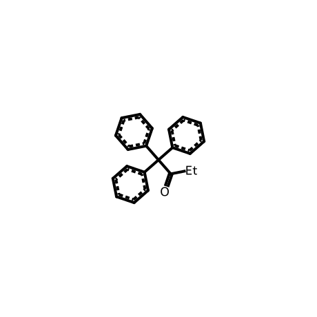 CCC(=O)C(c1ccccc1)(c1ccccc1)c1ccccc1